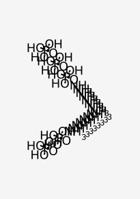 N.N.N.N.N.N.N.N.N.N.N.N.N.N.N.O=P(O)(O)O.O=P(O)(O)O.O=P(O)(O)O.O=P(O)(O)O.O=P(O)(O)O